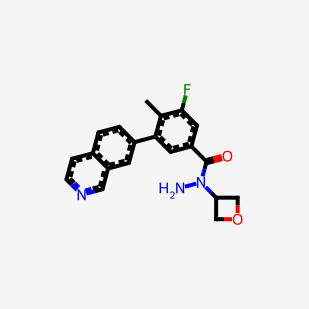 Cc1c(F)cc(C(=O)N(N)C2COC2)cc1-c1ccc2ccncc2c1